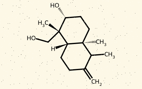 C=C1CC[C@@H]2[C@](C)(CO)[C@H](O)CC[C@@]2(C)C1C